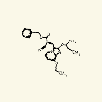 CCOc1cccn2c(C=C(C#N)C(=O)OCc3ccccc3)c(OC(C)CC)nc12